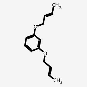 C/C=C/COc1[c]ccc(OC/C=C/C)c1